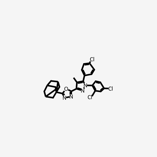 Cc1c(-c2nnc(C34CC5CC(CC(C5)C3)C4)o2)nn(-c2ccc(Cl)cc2Cl)c1-c1ccc(Cl)cc1